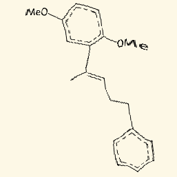 COc1ccc(OC)c(C(C)=CCCc2ccccc2)c1